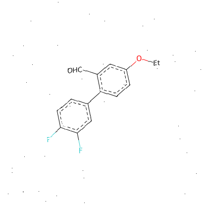 CCOc1ccc(-c2ccc(F)c(F)c2)c(C=O)c1